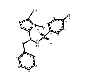 CCn1c(S)nnc1[C@H](Cc1ccccc1)NS(=O)(=O)c1ccc(Cl)cc1